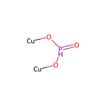 O=[PH]([O][Cu])[O][Cu]